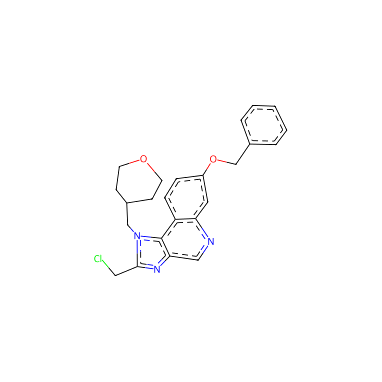 ClCc1nc2cnc3cc(OCc4ccccc4)ccc3c2n1CC1CCOCC1